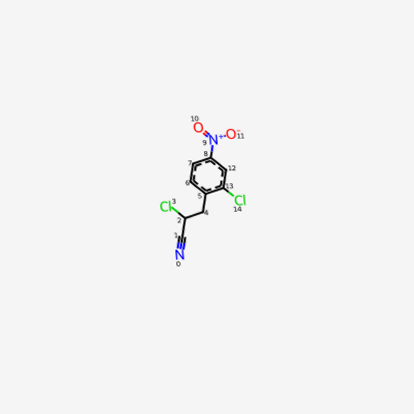 N#CC(Cl)Cc1ccc([N+](=O)[O-])cc1Cl